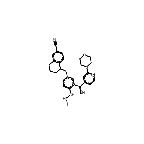 N#Cc1ccc2c(c1)CCCC2Oc1ccc(NPI)c(C(=N)c2ccnc(N3CCOCC3)c2)c1